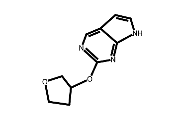 c1cc2cnc(OC3CCOC3)nc2[nH]1